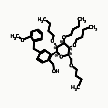 CCCCOC[C@H]1O[C@@H](c2cc(Cc3ccccc3OC)ccc2CO)[C@H](OCCCC)[C@@H](OCCCC)[C@@H]1OCCCC